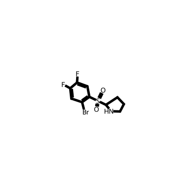 O=S(=O)(c1cc(F)c(F)cc1Br)C1CCCN1